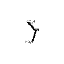 O=C(O)CCCCCCCCCCCC1=C(CCCCCCCCCCCC(=O)O)N1